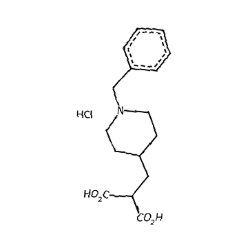 Cl.O=C(O)C(CC1CCN(Cc2ccccc2)CC1)C(=O)O